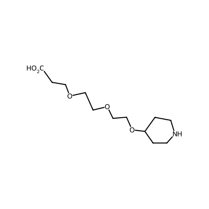 O=C(O)CCOCCOCCOC1CCNCC1